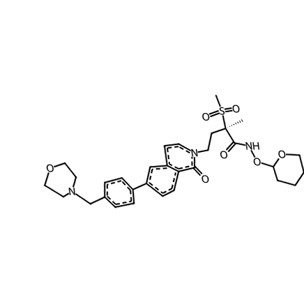 C[C@@](CCn1ccc2cc(-c3ccc(CN4CCOCC4)cc3)ccc2c1=O)(C(=O)NOC1CCCCO1)S(C)(=O)=O